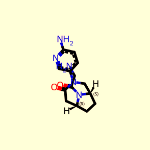 NCC(=O)N1[C@@H]2CC[C@H]1CN(c1ccc(N)nc1)C(=O)C2